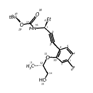 CC[C@@H](C#Cc1ccc(F)cc1O[C@@H](C)CO)NC(=O)OC(C)(C)C